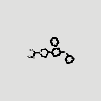 CC(=NO)N1CCC(c2ccc(Oc3ccccc3)cc2)CC1.c1ccccc1